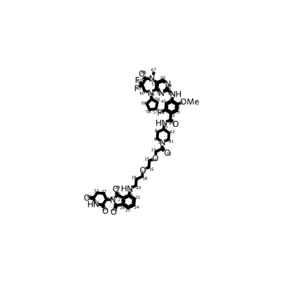 COc1cc(C(=O)NC2CCN(C(=O)COCCOCCCNc3cccc4c3C(=O)N(C3CCC(=O)NC3=O)C4=O)CC2)c(F)cc1Nc1ncc2c(n1)N(C1CCCC1)CC(F)(F)C(=O)N2C